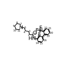 O=C(CCCCN1CCCCC1)Nc1cccc(-c2ccccc2C(F)(F)F)c1